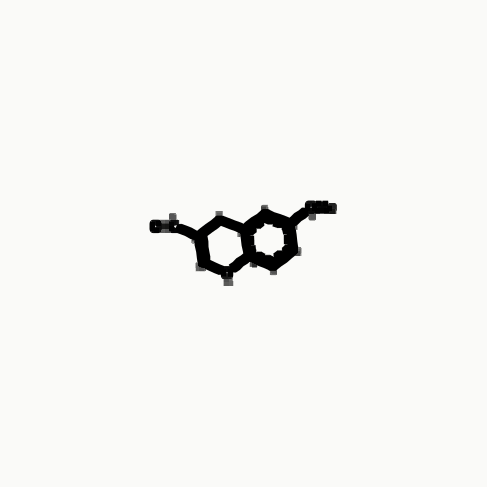 COc1ccc2c(c1)CC(C=O)=CO2